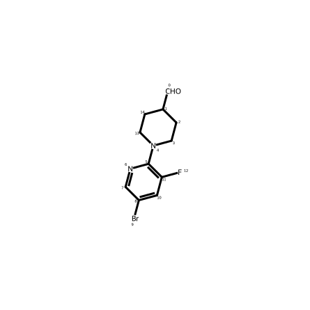 O=CC1CCN(c2ncc(Br)cc2F)CC1